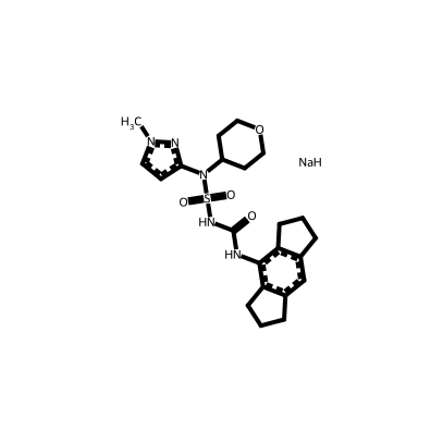 Cn1ccc(N(C2CCOCC2)S(=O)(=O)NC(=O)Nc2c3c(cc4c2CCC4)CCC3)n1.[NaH]